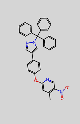 Cc1cc(Oc2ccc(-c3cnn(C(c4ccccc4)(c4ccccc4)c4ccccc4)c3)cc2)ncc1[N+](=O)[O-]